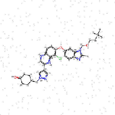 Cc1nc2ccc(Oc3ccc4ncc(-c5cnn(CC6CCC(=O)CC6)c5)nc4c3Cl)cc2n1COCC[Si](C)(C)C